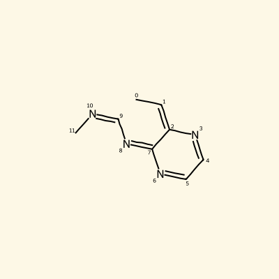 C/C=C1/N=CC=N/C1=N/C=N\C